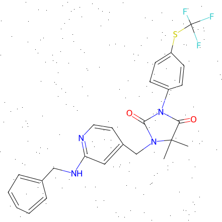 CC1(C)C(=O)N(c2ccc(SC(F)(F)F)cc2)C(=O)N1Cc1ccnc(NCc2ccccc2)c1